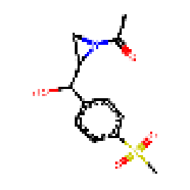 CC(=O)N1CC1C(O)c1ccc(S(C)(=O)=O)cc1